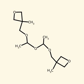 CC(OCC1(C)COC1)OC(C)OCC1(C)COC1